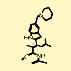 C=C=C(NC(=C)C)/C(C)=C(\C=C(C)C)c1cc2cc(CN3CCCCC3)ccc2[nH]1